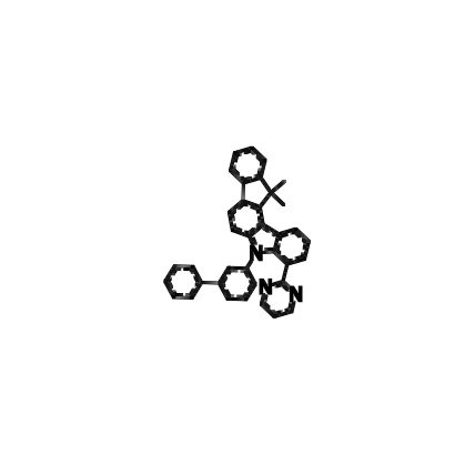 CC1(C)c2ccccc2-c2ccc3c(c21)c1cccc(-c2ncccn2)c1n3-c1cccc(-c2ccccc2)c1